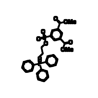 COC(=O)c1cc(C(=O)OC)cc(S(=O)(=O)OCCC[PH](c2ccccc2)(c2ccccc2)c2ccccc2)c1